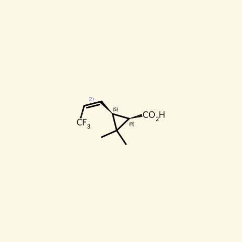 CC1(C)[C@H](C(=O)O)[C@@H]1/C=C\C(F)(F)F